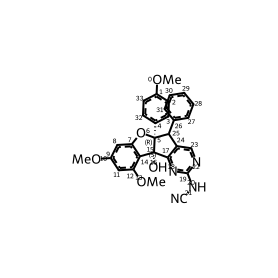 COc1ccc([C@@]23Oc4cc(OC)cc(OC)c4[C@]2(O)c2nc(NC#N)ncc2C3c2ccccc2)cc1